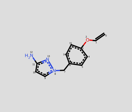 C=COc1ccc(Cn2ccc(N)n2)cc1